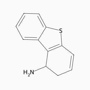 NC1CC=Cc2sc3ccccc3c21